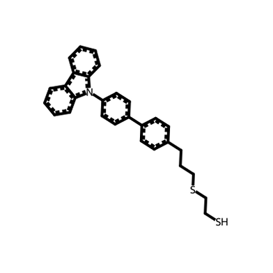 SCCSCCCc1ccc(-c2ccc(-n3c4ccccc4c4ccccc43)cc2)cc1